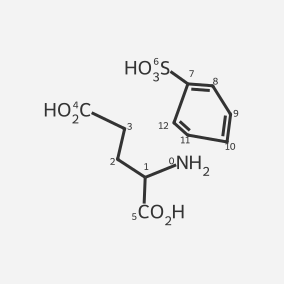 NC(CCC(=O)O)C(=O)O.O=S(=O)(O)c1ccccc1